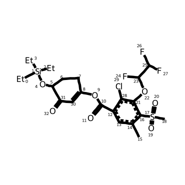 CC[Si](CC)(CC)OC1CCC(OC(=O)c2cc(C)c(S(C)(=O)=O)c(OC(F)C(F)F)c2Cl)=CC1=O